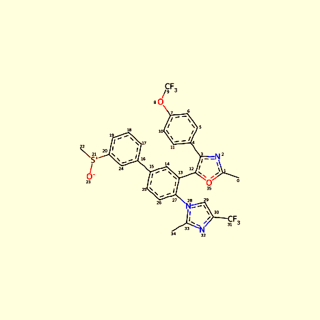 Cc1nc(-c2ccc(OC(F)(F)F)cc2)c(-c2cc(-c3cccc([S+](C)[O-])c3)ccc2-n2cc(C(F)(F)F)nc2C)o1